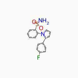 NS(=O)(=O)c1ccccc1-n1cccc1-c1ccc(F)cc1